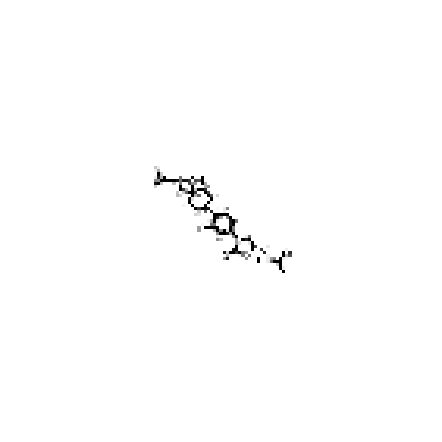 CC(=O)NC[C@H]1CN(c2ccc(N3CCC(O)(CNC4CC4)CC3)c(F)c2)C(=O)O1